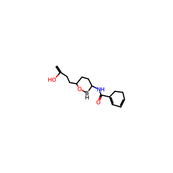 C=C(O)CCC1CCC(NC(=O)C2=CC=CCC2)BO1